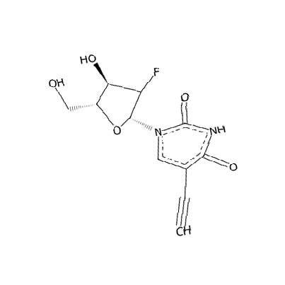 C#Cc1cn([C@@H]2O[C@H](CO)[C@@H](O)C2F)c(=O)[nH]c1=O